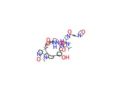 CCn1c(-c2cccnc2[C@H](C)OC)c2c3cc(ccc31)-c1cc(O)cc(c1)C[C@H](NC(=O)[C@H](C(C)C)N(C)C(=O)[C@H]1CCN(C(=O)C#CCN3CCOCC3)C1)C(=O)N1CCC[C@H](N1)C(=O)OCC(C)(C)C2